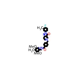 COc1cc(CNC(=O)c2ccc(CN3C=C4C(=O)N(c5ccc(F)c(C)c5)N=C4CC3)cc2)cc(OC)c1C